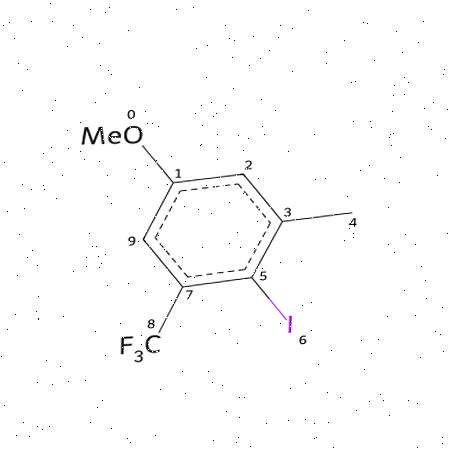 COc1cc(C)c(I)c(C(F)(F)F)c1